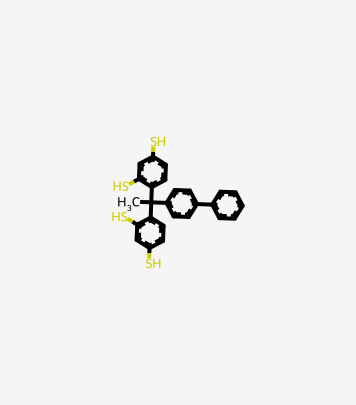 CC(c1ccc(-c2ccccc2)cc1)(c1ccc(S)cc1S)c1ccc(S)cc1S